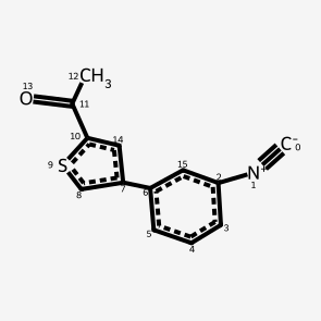 [C-]#[N+]c1cccc(-c2csc(C(C)=O)c2)c1